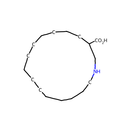 O=C(O)C1CCCCCCCCCCCCCCNC1